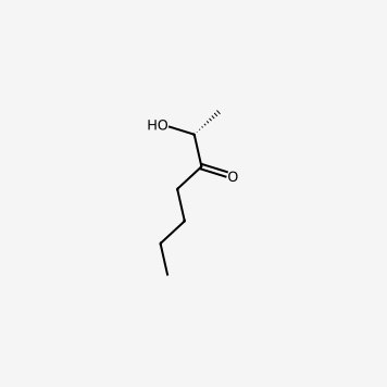 CCCCC(=O)[C@@H](C)O